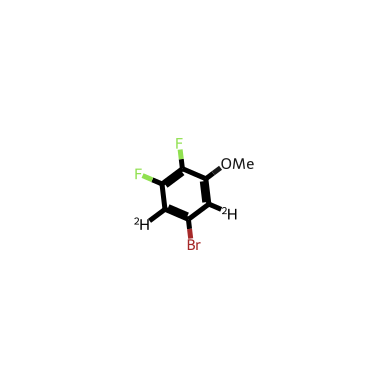 [2H]c1c(F)c(F)c(OC)c([2H])c1Br